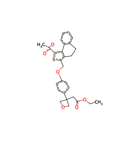 CCOC(=O)CC1(c2ccc(OCc3sc(S(C)(=O)=O)c4c3CCc3ccccc3-4)cc2)COC1